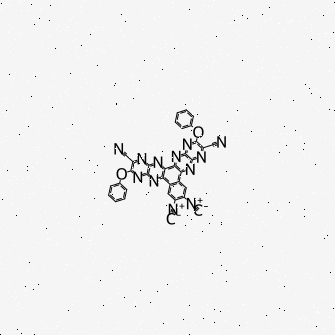 [C-]#[N+]c1cc2c(cc1[N+]#[C-])c1nc3nc(C#N)c(Oc4ccccc4)nc3nc1c1nc3nc(C#N)c(Oc4ccccc4)nc3nc21